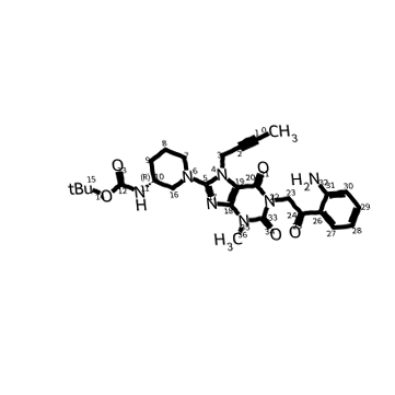 CC#CCn1c(N2CCC[C@@H](NC(=O)OC(C)(C)C)C2)nc2c1c(=O)n(CC(=O)c1ccccc1N)c(=O)n2C